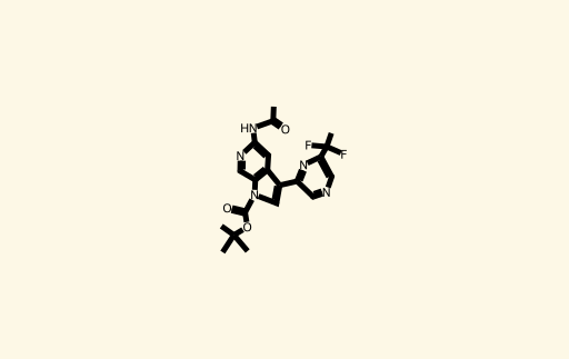 CC(=O)Nc1cc2c(-c3cncc(C(C)(F)F)n3)cn(C(=O)OC(C)(C)C)c2cn1